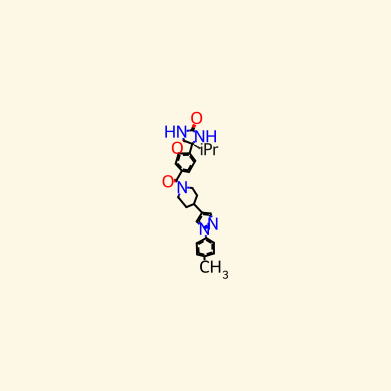 Cc1ccc(-n2cc(C3CCN(C(=O)c4ccc([C@@]5(C(C)C)NC(=O)NC5=O)cc4)CC3)cn2)cc1